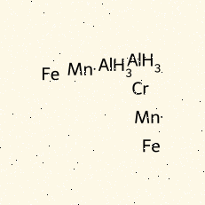 [AlH3].[AlH3].[Cr].[Fe].[Fe].[Mn].[Mn]